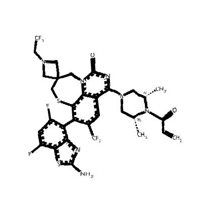 C=CC(=O)N1[C@H](C)CN(c2nc(=O)n3c4c(c(-c5c(F)cc(F)c6sc(N)nc56)c(C(F)(F)F)cc24)SCC2(CN(CC(F)(F)F)C2)C3)C[C@@H]1C